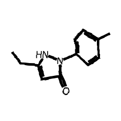 CCc1cc(=O)n(-c2ccc(C)cc2)[nH]1